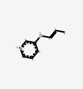 [CH2]C=COc1cccnc1